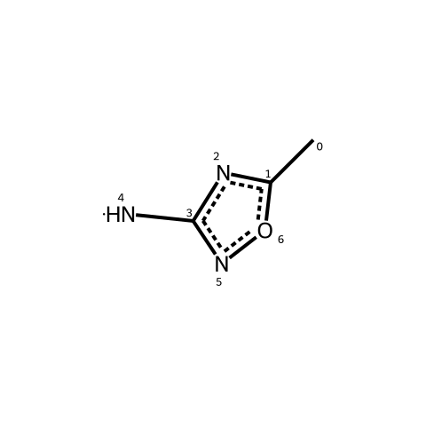 Cc1nc([NH])no1